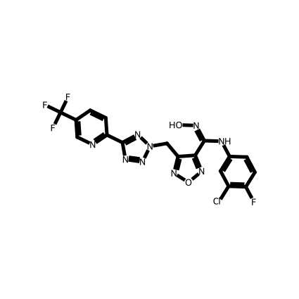 O/N=C(/Nc1ccc(F)c(Cl)c1)c1nonc1Cn1nnc(-c2ccc(C(F)(F)F)cn2)n1